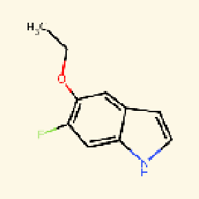 CCOc1cc2cc[nH]c2cc1F